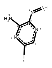 N=Nc1ncc(I)nc1N